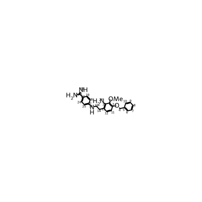 COc1c(OCc2ccccc2)ccc(CCNc2ccc(C(=N)N)cc2)c1N